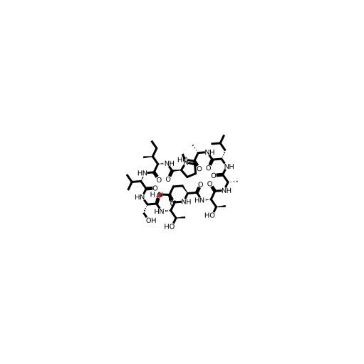 CC[C@H](C)[C@H](NC(=O)[C@@H]1CCCN1C)C(=O)N[C@H](C(=O)N[C@@H](CO)C(=O)N[C@H](C(=O)N[C@@H](CCC(N)=O)C(=O)N[C@H](C(=O)N[C@@H](C)C(=O)N[C@@H](CC(C)C)C(=O)N[C@@H](C)C(=O)O)[C@@H](C)O)[C@@H](C)O)C(C)C